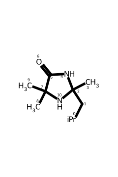 CC(C)CC1(C)NC(=O)C(C)(C)N1